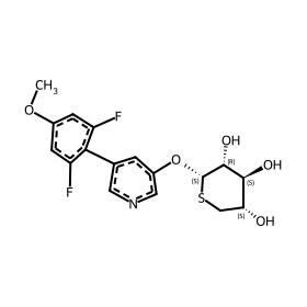 COc1cc(F)c(-c2cncc(O[C@H]3SC[C@@H](O)[C@H](O)[C@H]3O)c2)c(F)c1